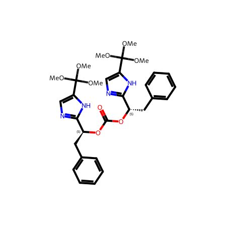 COC(OC)(OC)c1cnc([C@H](Cc2ccccc2)OC(=O)O[C@@H](Cc2ccccc2)c2ncc(C(OC)(OC)OC)[nH]2)[nH]1